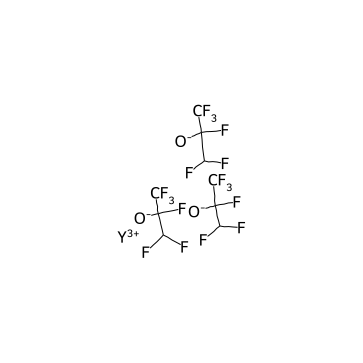 [O-]C(F)(C(F)F)C(F)(F)F.[O-]C(F)(C(F)F)C(F)(F)F.[O-]C(F)(C(F)F)C(F)(F)F.[Y+3]